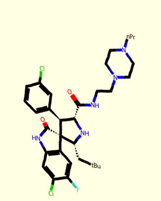 CCCN1CCN(CCNC(=O)[C@@H]2N[C@H](CC(C)(C)C)[C@]3(C(=O)Nc4cc(Cl)c(F)cc43)[C@H]2c2cccc(Cl)c2)CC1